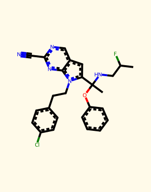 CC(F)CNC(C)(Oc1ccccc1)c1cc2cnc(C#N)nc2n1CCc1ccc(Cl)cc1